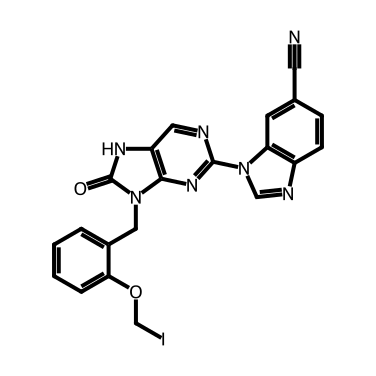 N#Cc1ccc2ncn(-c3ncc4[nH]c(=O)n(Cc5ccccc5OCI)c4n3)c2c1